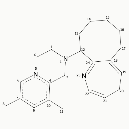 CCN(Cc1ncc(C)cc1C)C1CCCCCC2=CCC=CN=C21